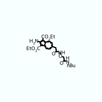 CCCCNC(=O)CONC(=O)Cc1ccc2c(C(=O)OCC)c(N)c(C(=O)OCC)c-2cc1